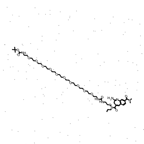 CCCN(OCCNC(=O)NCCOCCOCCOCCOCCOCCOCCOCCOCCOCCOCCNC(=O)OC(C)(C)C)C(=O)C1=Cc2ccc(C(=O)N(C)C)cc2N=C(N)C1